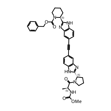 COC(=O)N[C@@H](C)C(=O)N1CCC[C@H]1c1nc2cc(C#Cc3ccc4[nH]c([C@@H]5CCCCN5C(=O)OCc5ccccc5)nc4c3)ccc2[nH]1